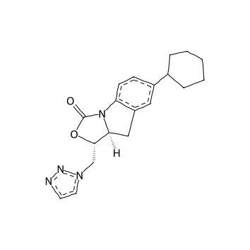 O=C1O[C@@H](Cn2ccnn2)[C@@H]2Cc3cc(C4CCCCC4)ccc3N12